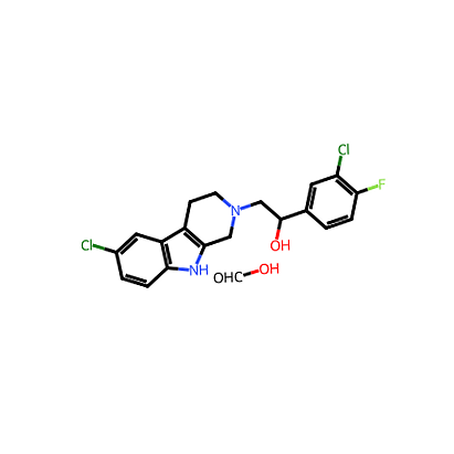 O=CO.OC(CN1CCc2c([nH]c3ccc(Cl)cc23)C1)c1ccc(F)c(Cl)c1